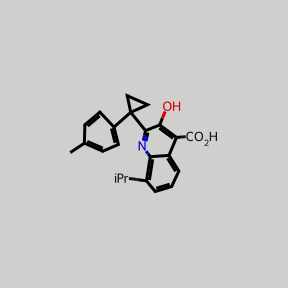 Cc1ccc(C2(c3nc4c(C(C)C)cccc4c(C(=O)O)c3O)CC2)cc1